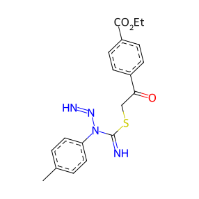 CCOC(=O)c1ccc(C(=O)CSC(=N)N(N=N)c2ccc(C)cc2)cc1